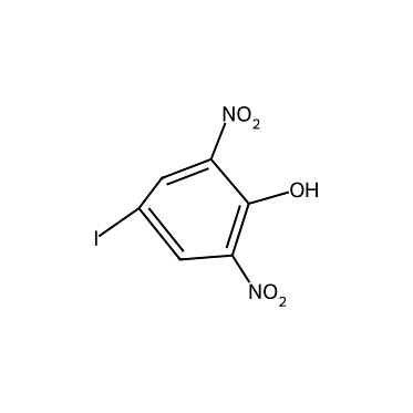 O=[N+]([O-])c1cc(I)cc([N+](=O)[O-])c1O